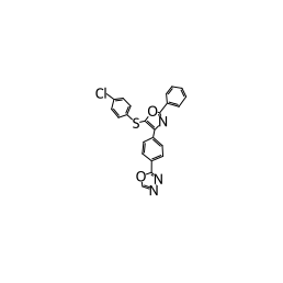 Clc1ccc(Sc2oc(-c3ccccc3)nc2-c2ccc(-c3nnco3)cc2)cc1